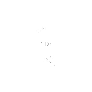 CC(C)C(=O)CCCCCC(=O)NCCCCCC(=O)Nc1ccccc1